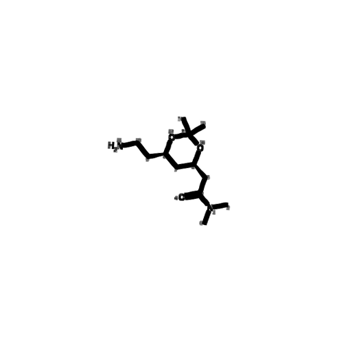 CN(C)C(=O)C[C@H]1C[C@@H](CCN)OC(C)(C)O1